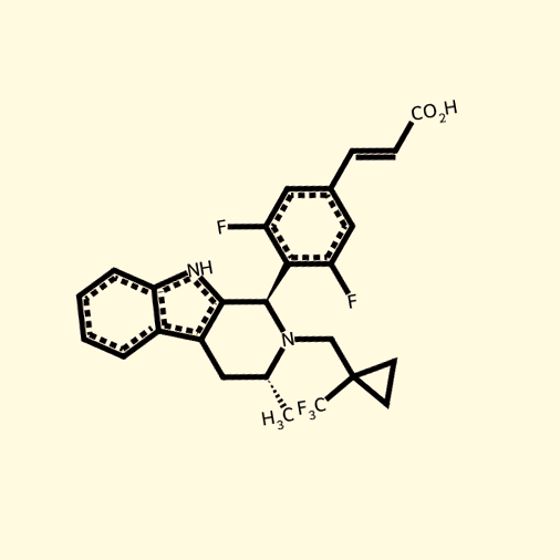 C[C@@H]1Cc2c([nH]c3ccccc23)[C@@H](c2c(F)cc(/C=C/C(=O)O)cc2F)N1CC1(C(F)(F)F)CC1